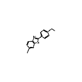 CCc1ccc(-c2nc3ccc(C)cc3s2)cc1